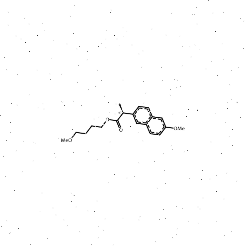 COCCCCOC(=O)[C@@H](C)c1ccc2cc(OC)ccc2c1